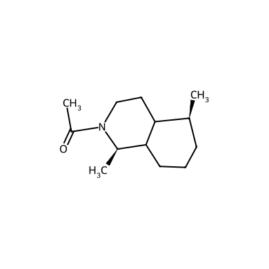 CC(=O)N1CCC2C(CCC[C@@H]2C)[C@H]1C